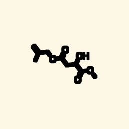 C=C(C)COC(=O)CC(O)C(=O)OC